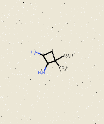 NC1CC(C(=O)O)(C(=O)O)C1N